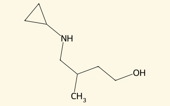 CC(CCO)CNC1CC1